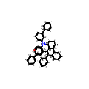 c1ccc(-c2ccc(N(c3cccc(-c4ccccc4)c3)c3cccc4c3c(-c3ccccc3)c(-c3ccccc3)c3ccccc34)cc2)cc1